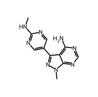 CNc1ncc(-c2nn(C)c3ncnc(N)c23)cn1